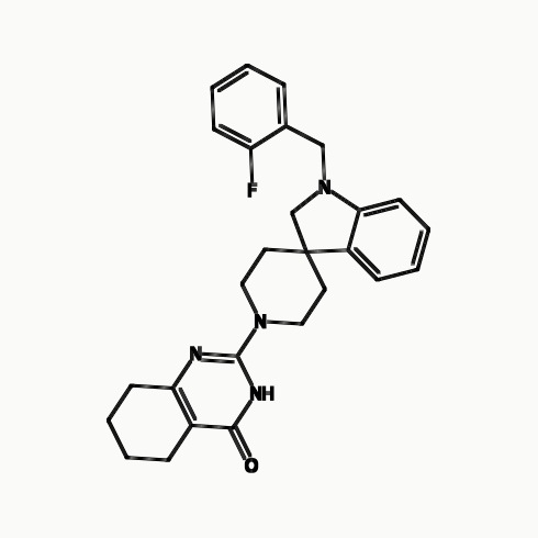 O=c1[nH]c(N2CCC3(CC2)CN(Cc2ccccc2F)c2ccccc23)nc2c1CCCC2